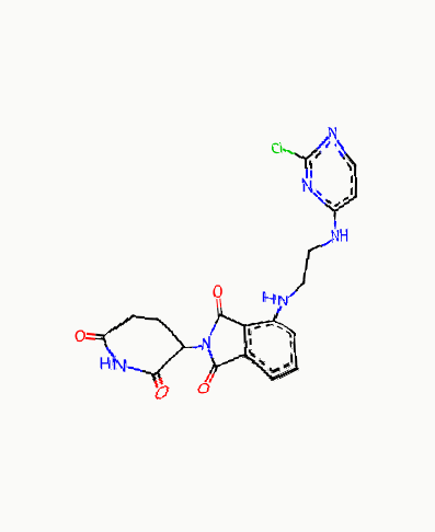 O=C1CCC(N2C(=O)c3cccc(NCCNc4ccnc(Cl)n4)c3C2=O)C(=O)N1